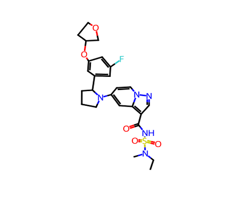 CCN(C)S(=O)(=O)NC(=O)c1cnn2ccc(N3CCCC3c3cc(F)cc(OC4CCOC4)c3)cc12